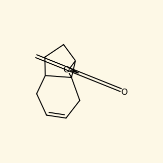 O=C1CC2CCC3CC=CCC32O1